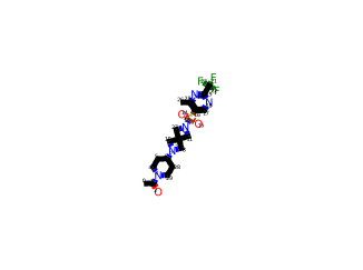 CC(=O)N1CCC(N2CC3(C2)CN(S(=O)(=O)c2cnc(C(F)(F)F)nc2C)C3)CC1